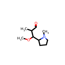 COC(C(C)C=O)C1CCCN1C